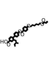 C=CC(=O)OCCCCCCOc1ccc(C(=O)Oc2ccc(-c3ccc(C(=O)O)cc3CC(C)CC)cc2)cc1